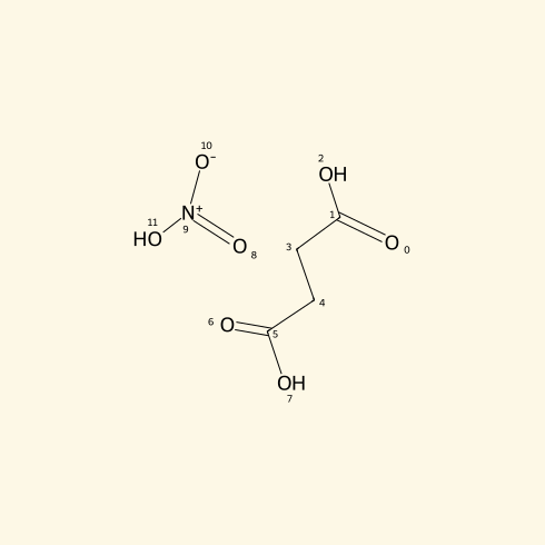 O=C(O)CCC(=O)O.O=[N+]([O-])O